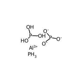 OP(O)O.P.[Al+3].[O-]P([O-])[O-]